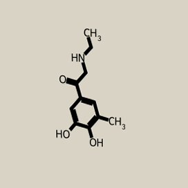 CCNCC(=O)c1cc(C)c(O)c(O)c1